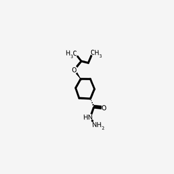 CCC(C)O[C@H]1CC[C@H](C(=O)NN)CC1